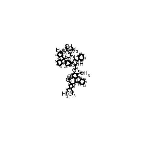 CCCCC1(CCCC)CN(c2ccccc2)c2cc(SC)c(OCC(=O)N[C@@H](C(=O)N[C@@H](CSC(c3ccccc3)(c3ccccc3)c3ccccc3)C(=O)OC(C)(C)C)c3ccccc3)cc2S(=O)(=O)C1